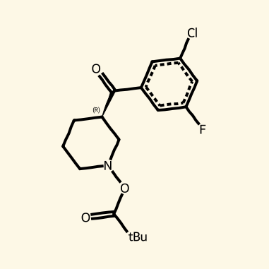 CC(C)(C)C(=O)ON1CCC[C@@H](C(=O)c2cc(F)cc(Cl)c2)C1